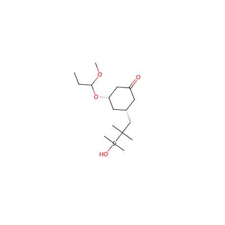 CCC(OC)O[C@@H]1CC(=O)C[C@H](CC(C)(C)[Si](C)(C)O)C1